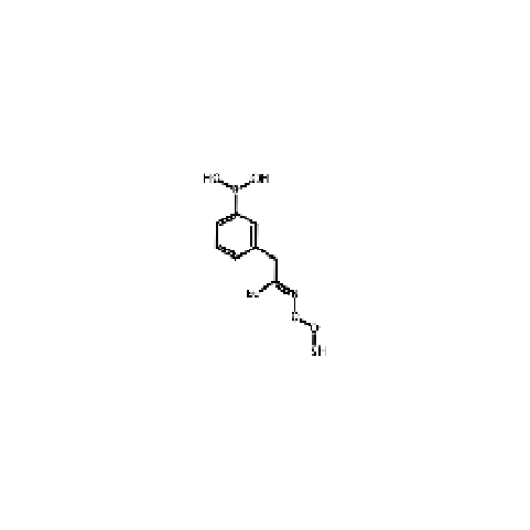 CC/C(Cc1cccc(B(O)O)c1)=N\OOS